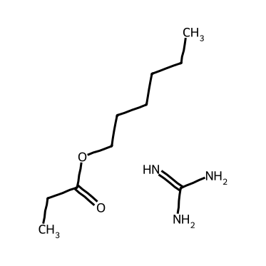 CCCCCCOC(=O)CC.N=C(N)N